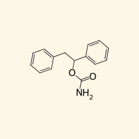 NC(=O)OC(Cc1ccccc1)c1ccccc1